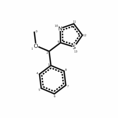 COC(c1ccccc1)c1nccs1